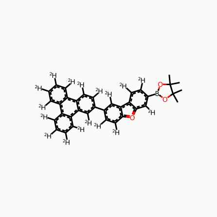 [2H]c1c(-c2c([2H])c([2H])c3c4c([2H])c([2H])c([2H])c([2H])c4c4c([2H])c([2H])c([2H])c([2H])c4c3c2[2H])c([2H])c2c(oc3c([2H])c(B4OC(C)(C)C(C)(C)O4)c([2H])c([2H])c32)c1[2H]